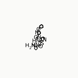 NC1CCC[C@H]1NC(=O)c1sc2nccc3c2c1NC(=O)N3c1ccc(Oc2ccccc2)nc1